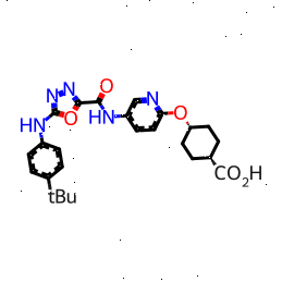 CC(C)(C)c1ccc(Nc2nnc(C(=O)Nc3ccc(O[C@H]4CC[C@H](C(=O)O)CC4)nc3)o2)cc1